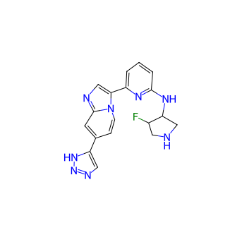 FC1CNCC1Nc1cccc(-c2cnc3cc(-c4cnn[nH]4)ccn23)n1